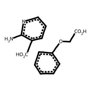 Nc1ncccc1C(=O)O.O=C(O)COc1ccccc1